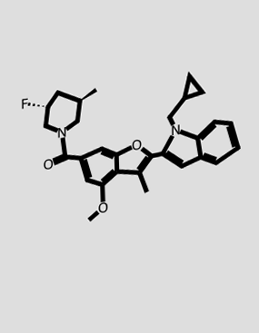 COc1cc(C(=O)N2C[C@H](C)C[C@@H](F)C2)cc2oc(-c3cc4ccccc4n3CC3CC3)c(C)c12